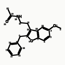 COc1ccc2oc(Cc3ccccc3)c(CCNC(C)=O)c2c1